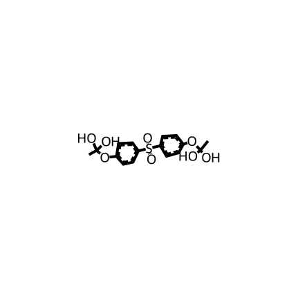 CC(O)(O)Oc1ccc(S(=O)(=O)c2ccc(OC(C)(O)O)cc2)cc1